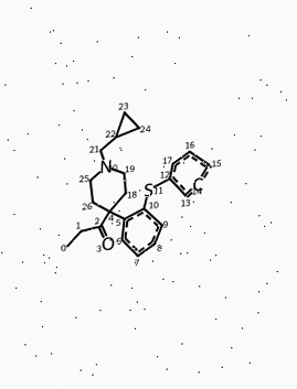 CCC(=O)C1(c2ccccc2Sc2ccccc2)CCN(CC2CC2)CC1